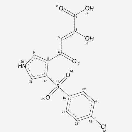 O=C(O)C(O)=CC(=O)c1c[nH]cc1S(=O)(=O)c1ccc(Cl)cc1